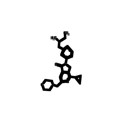 CC[C@H](C)Cc1cccc(N2Cc3c(cc(CN4CCOCC4)nc3C3CC3)C2=O)c1